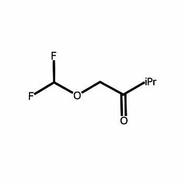 CC(C)C(=O)COC(F)F